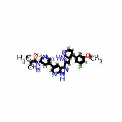 COc1cc(F)cc(-c2ccnc3[nH]c(-c4n[nH]c5ncc(-c6cncc(NC(=O)C(C)C)c6)cc45)cc23)c1